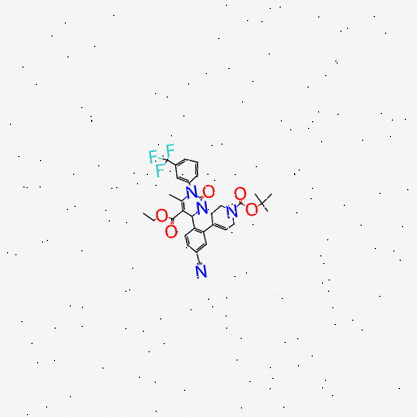 CCOC(=O)C1=C(C)N(c2cccc(C(F)(F)F)c2)C(=O)N(C)C1c1ccc(C#N)cc1C1=CCN(C(=O)OC(C)(C)C)CC1